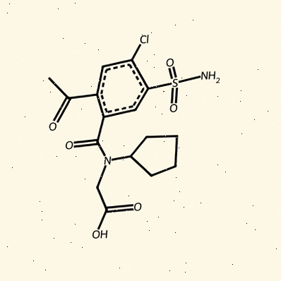 CC(=O)c1cc(Cl)c(S(N)(=O)=O)cc1C(=O)N(CC(=O)O)C1CCCC1